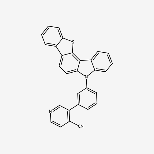 N#Cc1ccncc1-c1cccc(-n2c3ccccc3c3c4sc5ccccc5c4ccc32)c1